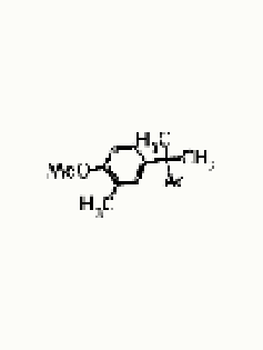 COc1ccc(C(C)(C)C(C)=O)cc1C